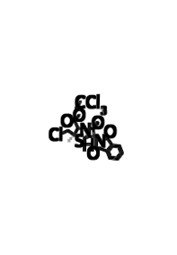 C[C@@]1(CCl)S[C@@H]2C(N3C(=O)c4ccccc4C3=O)C(=O)N2C1C(=O)OCC(Cl)(Cl)Cl